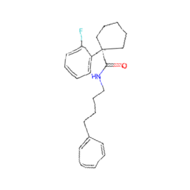 O=C(NCCCCc1ccccc1)C1(c2ccccc2F)CCCCC1